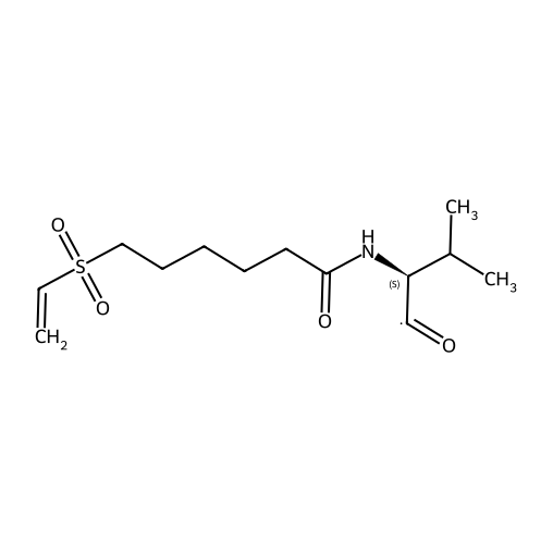 C=CS(=O)(=O)CCCCCC(=O)N[C@H]([C]=O)C(C)C